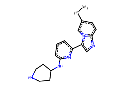 BBc1ccc2ncc(-c3cccc(NC4CCNCC4)n3)n2c1